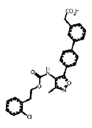 Cc1noc(-c2ccc(-c3cccc(CC(=O)O)c3)cc2)c1NC(=O)OCCc1ccccc1Cl